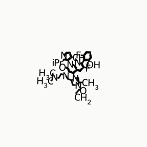 C=CC(=O)N1CC2CN(CCN(C)C)c3c(c4cc(F)c(-c5c(O)cccc5F)nc4n(-c4c(C)ccnc4C(C)C)c3=O)N2CC1C